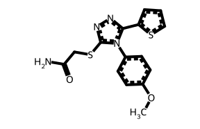 COc1ccc(-n2c(SCC(N)=O)nnc2-c2cccs2)cc1